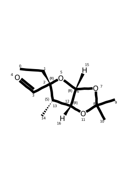 CC[C@@]1(C=O)O[C@@H]2OC(C)(C)O[C@@H]2[C@@H]1C